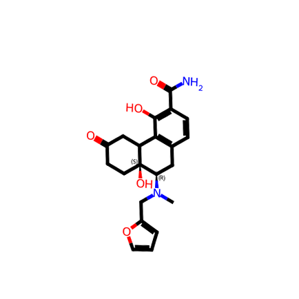 CN(Cc1ccco1)[C@@H]1Cc2ccc(C(N)=O)c(O)c2C2CC(=O)CC[C@]21O